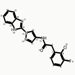 O=C(Cc1cccc(F)c1Cl)Nc1cnn(-c2nc3ccccc3[nH]2)c1